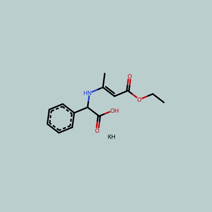 CCOC(=O)C=C(C)NC(C(=O)O)c1ccccc1.[KH]